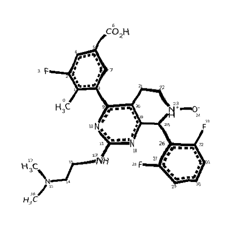 Cc1c(F)cc(C(=O)O)cc1-c1nc(NCCN(C)C)nc2c1CC[NH+]([O-])C2c1c(F)cccc1F